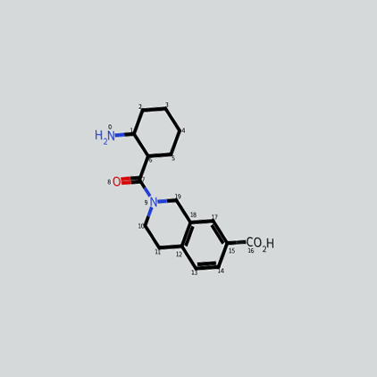 NC1CCCCC1C(=O)N1CCc2ccc(C(=O)O)cc2C1